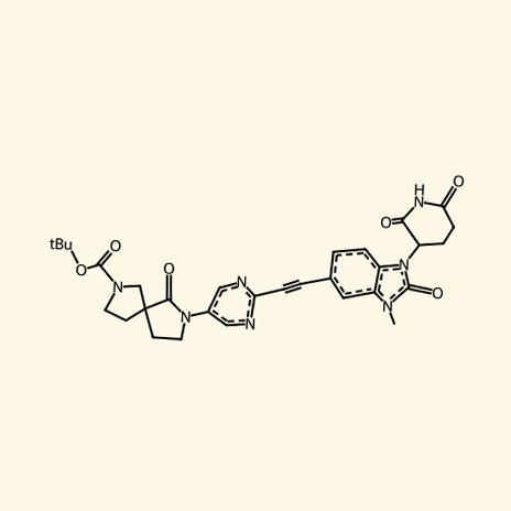 Cn1c(=O)n(C2CCC(=O)NC2=O)c2ccc(C#Cc3ncc(N4CCC5(CCN(C(=O)OC(C)(C)C)C5)C4=O)cn3)cc21